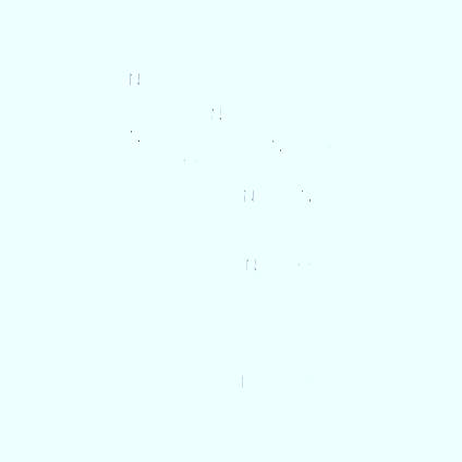 Fc1cc2nc(-c3nc(Cl)nc(-c4nc5cncnc5o4)n3)oc2cc1F